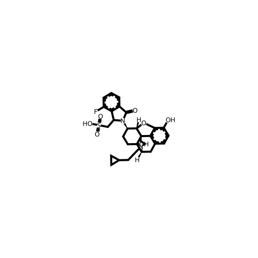 O=C1c2cccc(F)c2C(CS(=O)(=O)O)N1[C@@H]1CCC2(O)[C@H]3Cc4ccc(O)c5c4[C@@]2(CCN3CC2CC2)[C@H]1O5